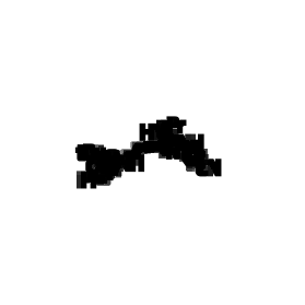 CCCNc1nc(Nc2ccc(C#N)cc2)ncc1C#CCCCNC(=O)CN(CC(C)C)C(=O)OC(C)(C)C